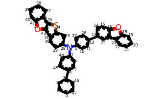 c1ccc(-c2ccc(N(c3ccc(-c4ccc5oc6ccccc6c5c4)cc3)c3ccc4c(c3)sc3c5ccccc5oc43)cc2)cc1